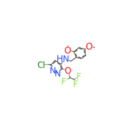 COc1ccc(CNc2cc(Cl)nnc2OC(F)C(F)F)c(OC)c1